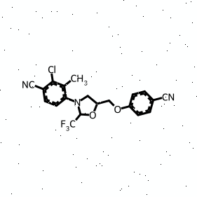 Cc1c(N2CC(COc3ccc(C#N)cc3)OC2C(F)(F)F)ccc(C#N)c1Cl